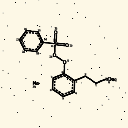 CCCCCCCCCCCCc1ccccc1OOS(=O)(=O)c1ccccc1.[Na]